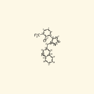 FC(F)(F)c1cccc(-c2nnnn2Cc2cnc3ccccc3c2)c1Cl